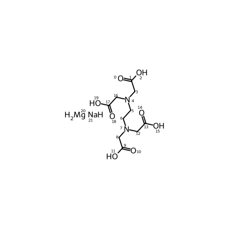 O=C(O)CN(CCN(CC(=O)O)CC(=O)O)CC(=O)O.[MgH2].[NaH]